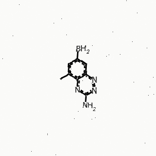 Bc1cc(C)c2nc(N)nnc2c1